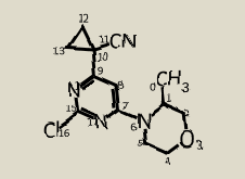 CC1COCCN1c1cc(C2(C#N)CC2)nc(Cl)n1